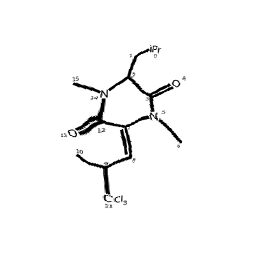 CC(C)CC1C(=O)N(C)/C(=C/C(C)C(Cl)(Cl)Cl)C(=O)N1C